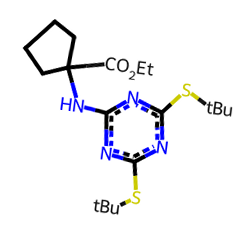 CCOC(=O)C1(Nc2nc(SC(C)(C)C)nc(SC(C)(C)C)n2)CCCC1